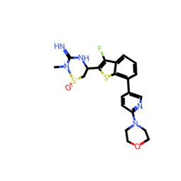 CN1C(=N)NC(c2sc3c(-c4ccc(N5CCOCC5)nc4)cccc3c2F)C[S+]1[O-]